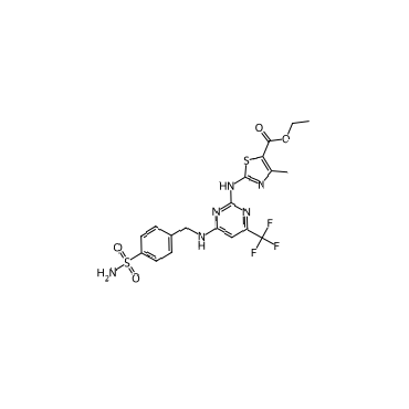 CCOC(=O)c1sc(Nc2nc(NCc3ccc(S(N)(=O)=O)cc3)cc(C(F)(F)F)n2)nc1C